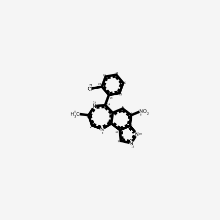 Cc1cnc2c(cc([N+](=O)[O-])c3nncc32)c(-c2ccccc2Cl)n1